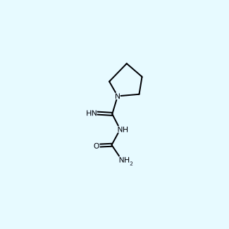 N=C(NC(N)=O)N1CCCC1